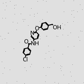 O=C(Nc1ccc(Oc2ccc(CO)cc2)nc1)c1ccc(Cl)cc1